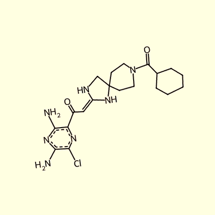 Nc1nc(N)c(C(=O)/C=C2\NCC3(CCN(C(=O)C4CCCCC4)CC3)N2)nc1Cl